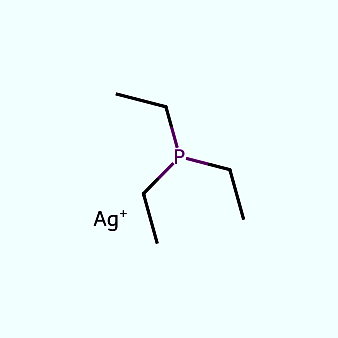 CCP(CC)CC.[Ag+]